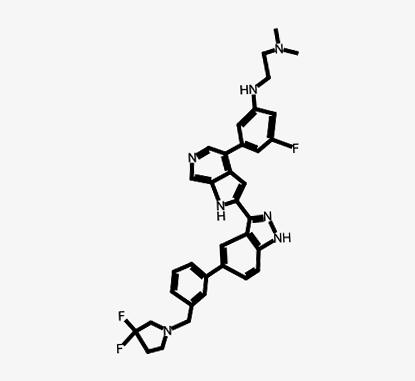 CN(C)CCNc1cc(F)cc(-c2cncc3[nH]c(-c4n[nH]c5ccc(-c6cccc(CN7CCC(F)(F)C7)c6)cc45)cc23)c1